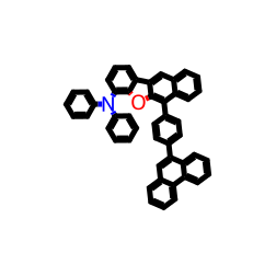 c1ccc(N(c2ccccc2)c2cccc3c2oc2c(-c4ccc(-c5cc6ccccc6c6ccccc56)cc4)c4ccccc4cc23)cc1